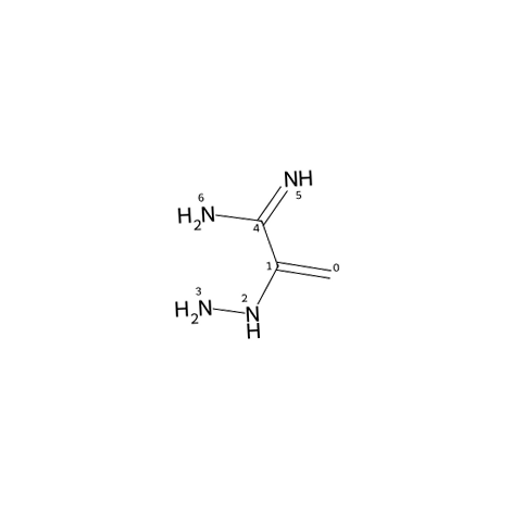 C=C(NN)C(=N)N